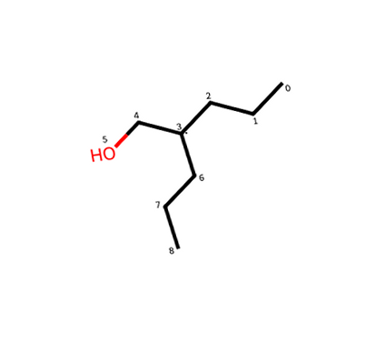 CCC[C](CO)CCC